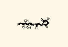 O=C(CCN1C(=O)CC(S)C1=O)N/N=C/[C@H](O)[C@H](O)[C@H](O)CF